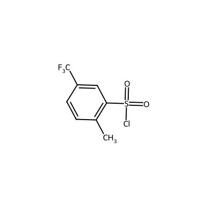 Cc1ccc(C(F)(F)F)cc1S(=O)(=O)Cl